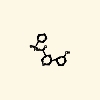 O=C(/N=[SH](=O)\c1ccccc1)c1cncc(-c2cccc(O)c2)c1